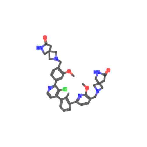 COc1cc(-c2nccc(-c3cccc(-c4ccc(CN5CC6(CNC(=O)C6)C5)c(OC)n4)c3C)c2Cl)ccc1CN1CC2(CNC(=O)C2)C1